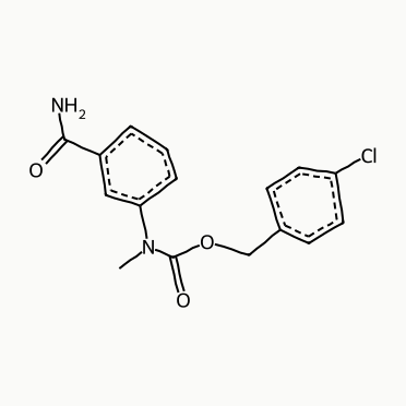 CN(C(=O)OCc1ccc(Cl)cc1)c1cccc(C(N)=O)c1